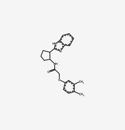 Cc1ccc(OCC(=O)NC2CCCC2c2nc3ccccc3[nH]2)cc1C